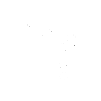 CN(C)CC=CC(=O)N1CCCC(n2nc(C#CCNS(=O)(=O)c3ccccc3)c3c(N)ncnc32)C1